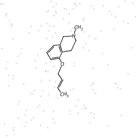 C/C=C/COc1cccc2c1CCN(C)C2